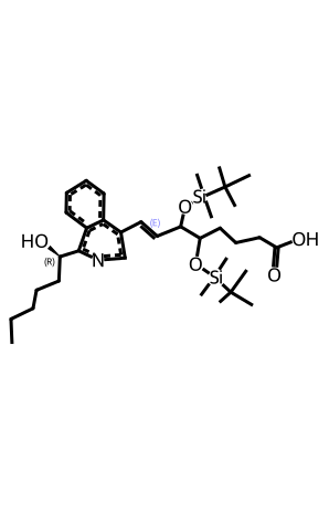 CCCCC[C@@H](O)c1ncc(/C=C/C(O[Si](C)(C)C(C)(C)C)C(CCCC(=O)O)O[Si](C)(C)C(C)(C)C)c2ccccc12